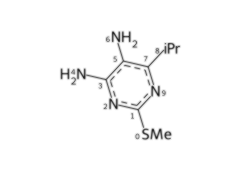 CSc1nc(N)c(N)c(C(C)C)n1